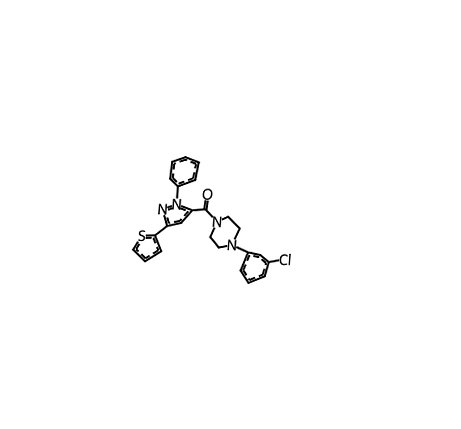 O=C(c1cc(-c2cccs2)nn1-c1ccccc1)N1CCN(c2cccc(Cl)c2)CC1